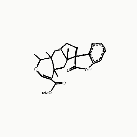 COC(=O)C1=COC(C)C2(C)CN3CCC4(C(=O)Nc5ccccc54)C3(C)CC12C